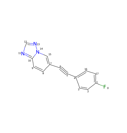 Fc1ccc(C#Cc2ccc3ncnn3c2)cc1